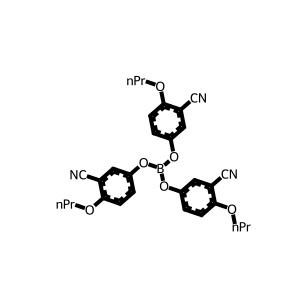 CCCOc1ccc(OB(Oc2ccc(OCCC)c(C#N)c2)Oc2ccc(OCCC)c(C#N)c2)cc1C#N